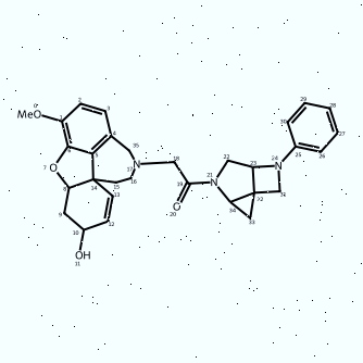 COc1ccc2c3c1OC1CC(O)C=CC31CCN(CC(=O)N1CC3N(c4ccccc4)CC34CC14)C2